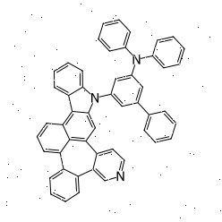 c1ccc(-c2cc(N(c3ccccc3)c3ccccc3)cc(-n3c4ccccc4c4c5cccc6c5c(cc43)-c3ccncc3-c3ccccc3-6)c2)cc1